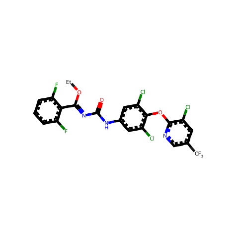 CCOC(=NC(=O)Nc1cc(Cl)c(Oc2ncc(C(F)(F)F)cc2Cl)c(Cl)c1)c1c(F)cccc1F